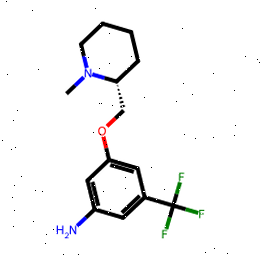 CN1CCCC[C@@H]1COc1cc(N)cc(C(F)(F)F)c1